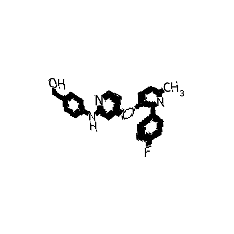 Cc1ccc(Oc2ccnc(Nc3ccc(CO)cc3)c2)c(-c2ccc(F)cc2)n1